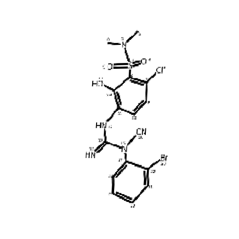 CN(C)S(=O)(=O)c1c(Cl)ccc(NC(=N)N(C#N)c2ccccc2Br)c1O